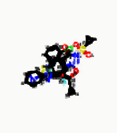 O=C(NS(=O)(=O)C1CC1)c1cc(F)c2nc(N3C4CC(NCc5c(-c6c(Cl)cccc6Cl)noc5C5CC5)CC3C4)sc2c1